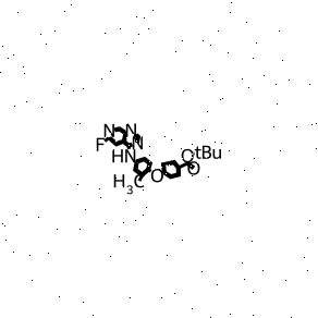 Cc1cc(Nc2ncnc3cnc(F)cc23)ccc1Oc1ccc(C(=O)OC(C)(C)C)cc1